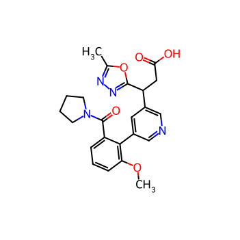 COc1cccc(C(=O)N2CCCC2)c1-c1cncc(C(CC(=O)O)c2nnc(C)o2)c1